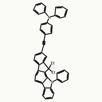 CCC1(CC)c2cc(C#Cc3ccc(N(c4ccccc4)c4ccccc4)cc3)ccc2-c2ccc3c4ccccc4n(-c4ccccc4)c3c21